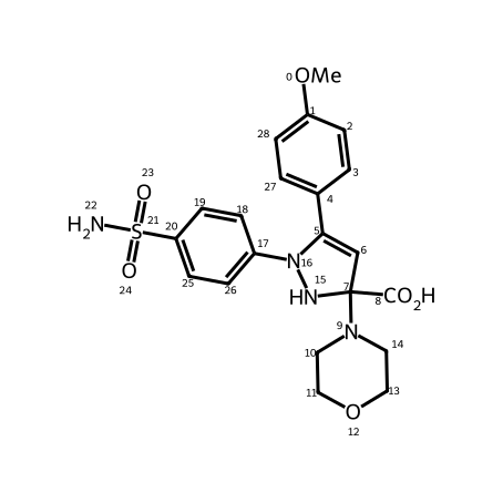 COc1ccc(C2=CC(C(=O)O)(N3CCOCC3)NN2c2ccc(S(N)(=O)=O)cc2)cc1